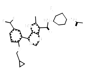 CC(=O)N[C@@H]1CC[C@H](NC(=O)c2c(C)[nH]c3c(-c4cc(C(F)F)ccc4OCC4CC4)ncnc23)[C@H](F)C1